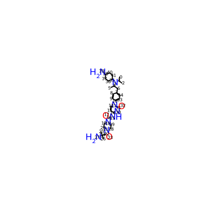 CC(C)N(C(C)Cc1ccc(-n2ccc(NC(=O)N3CCN(C(=O)C(C)(C)N)CC3)nc2=O)cc1)C1CCC(N)CC1